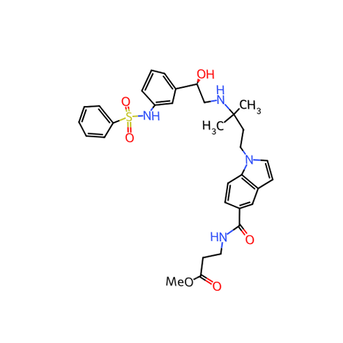 COC(=O)CCNC(=O)c1ccc2c(ccn2CCC(C)(C)NC[C@H](O)c2cccc(NS(=O)(=O)c3ccccc3)c2)c1